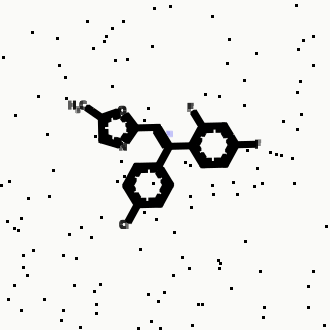 Cc1cnc(/C=C(\c2ccc(Cl)cc2)c2ccc(F)cc2F)o1